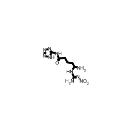 NC(=N[N+](=O)[O-])NC(N)CCCC(=O)Nc1nnn[nH]1